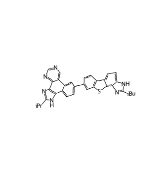 CCC(C)c1nc2c(ccc3c4ccc(-c5ccc6c(c5)c5cncnc5c5nc(C(C)C)[nH]c65)cc4sc32)[nH]1